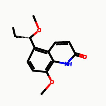 CC[C@H](OC)c1ccc(OC)c2[nH]c(=O)ccc12